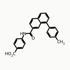 Cc1ccc(-c2cccc3ccc(C(=O)Nc4ccc(C(=O)O)cc4)cc23)cc1